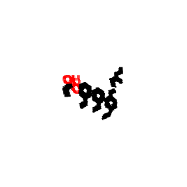 C=CC(=C)CCC.C=CC(=O)O.C=Cc1ccc(CC)cc1.C=Cc1ccccc1.C=Cc1ccccc1